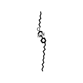 CCCCCCCCCCCCCc1ccc(-c2ncc(OCCCCCCCC)cn2)cc1